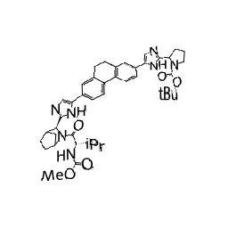 COC(=O)N[C@H](C(=O)N1C2CCC(C2)[C@H]1c1ncc(-c2ccc3c(c2)CCc2cc(-c4cnc(C5CCCN5C(=O)OC(C)(C)C)[nH]4)ccc2-3)[nH]1)C(C)C